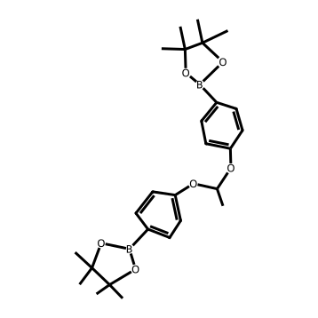 CC(Oc1ccc(B2OC(C)(C)C(C)(C)O2)cc1)Oc1ccc(B2OC(C)(C)C(C)(C)O2)cc1